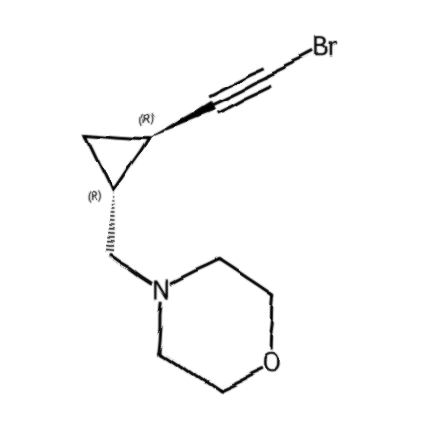 BrC#C[C@@H]1C[C@H]1CN1CCOCC1